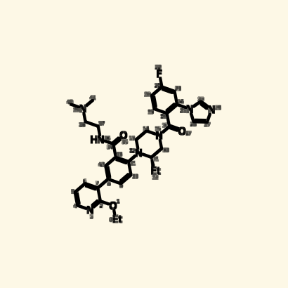 CCOc1ncccc1-c1ccc(N2CCN(C(=O)c3ccc(F)cc3-n3ccnc3)C[C@H]2CC)c(C(=O)NCCN(C)C)c1